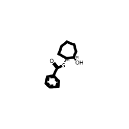 O=C(S[C@@H]1CCCCC[C@H]1O)c1ccccc1